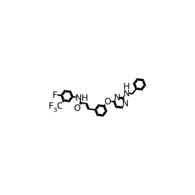 O=C(C=Cc1cccc(Oc2ccnc(NCc3ccccc3)n2)c1)Nc1ccc(F)c(C(F)(F)F)c1